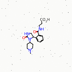 CN1CCC(N2C(=O)NCC2c2ccccc2C(=O)NCCC(=O)O)CC1